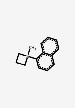 C[Si]1(c2cccc3ccccc23)CCC1